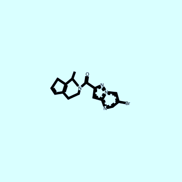 CC1C2=C(C=CC2)CCN1C(=O)c1cc2ncc(Br)cn2n1